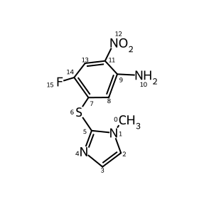 Cn1ccnc1Sc1cc(N)c([N+](=O)[O-])cc1F